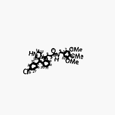 COc1cc(CNC(=O)CCC(=O)N2CCNCC2C(c2ccccc2)c2ccc(Cl)cc2)cc(OC)c1OC